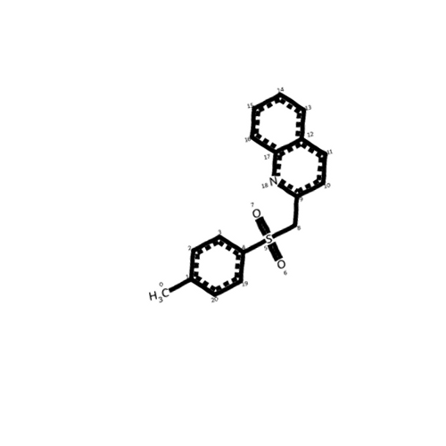 Cc1ccc(S(=O)(=O)Cc2ccc3ccccc3n2)cc1